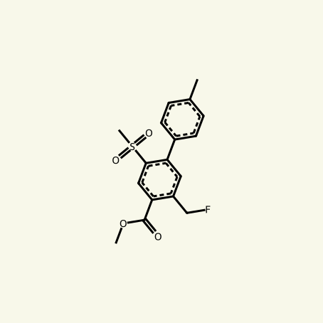 COC(=O)c1cc(S(C)(=O)=O)c(-c2ccc(C)cc2)cc1CF